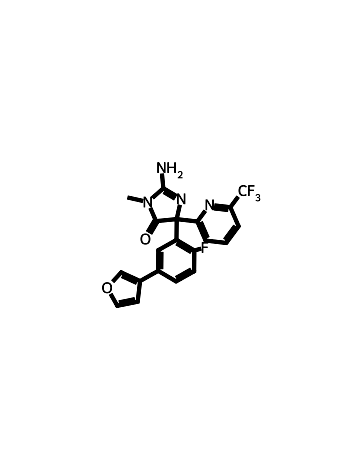 CN1C(=O)C(c2cccc(C(F)(F)F)n2)(c2cc(-c3ccoc3)ccc2F)N=C1N